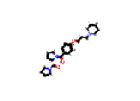 O=C([C@@H]1CCCN1C(=O)c1ccc(OCCCN2CCCCC2)cc1)N1CCCC1